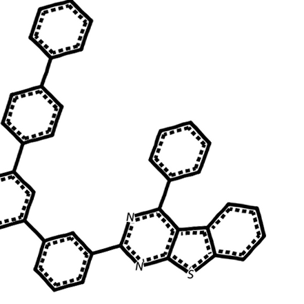 c1ccc(-c2ccc(-c3cccc(-c4cccc(-c5nc(-c6ccccc6)c6c(n5)sc5ccccc56)c4)c3)cc2)cc1